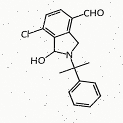 CC(C)(c1ccccc1)N1Cc2c(C=O)ccc(Cl)c2C1O